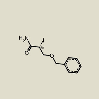 NC(=O)[C@H](I)COCc1ccccc1